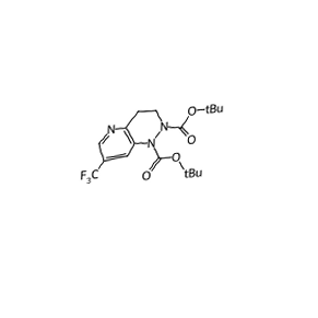 CC(C)(C)OC(=O)N1CCc2ncc(C(F)(F)F)cc2N1C(=O)OC(C)(C)C